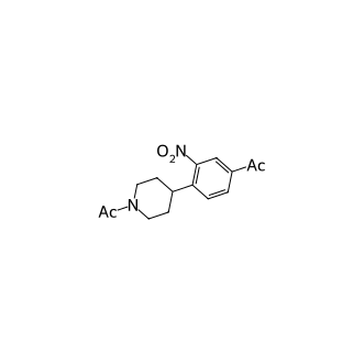 CC(=O)c1ccc(C2CCN(C(C)=O)CC2)c([N+](=O)[O-])c1